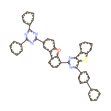 c1ccc(-c2ccc(-c3nc(-c4cccc5c4oc4ccc(-c6nc(-c7ccccc7)nc(-c7ccccc7)n6)cc45)nc4c3sc3ccccc34)cc2)cc1